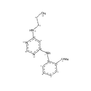 COc1ccccc1Nc1cc(NCCO)ncn1